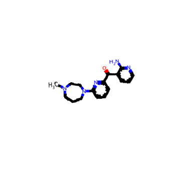 CN1CCCN(c2cccc(C(=O)c3cccnc3N)n2)CC1